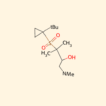 CNCC(O)C(C)(C)S(=O)(=O)C1(C(C)(C)C)CC1